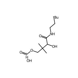 CC(C)(C)CCNC(=O)C(O)C(C)(C)CO[PH](=O)O